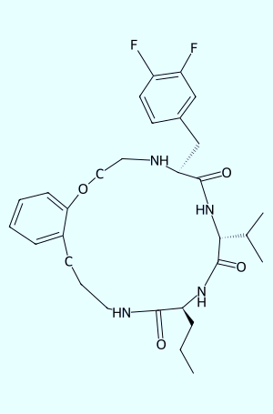 CCC[C@@H]1NC(=O)[C@@H](C(C)C)NC(=O)[C@@H](Cc2ccc(F)c(F)c2)NCCOc2ccccc2CCCNC1=O